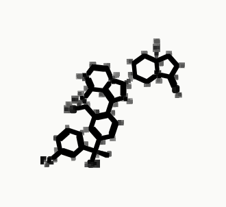 C[C@@](O)(c1cccc(C(F)(F)F)c1)c1ccc(-c2nc([C@@H]3CC[C@H]4CCC(=O)N4C3)n3ccnc(N)c23)c(CO)c1